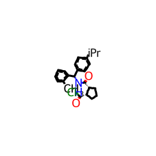 Cc1ccccc1[C@H](NC(=O)[C@@H]1CCC[C@@H]1C(=O)Cl)c1ccc(C(C)C)cc1